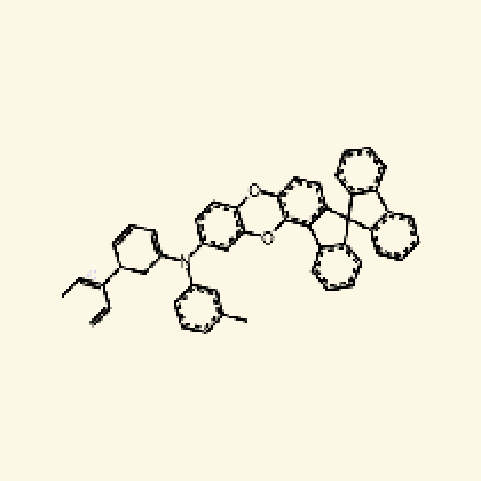 C=C/C(=C\C)C1C=CC=C(N(c2cccc(C)c2)c2ccc3c(c2)Oc2c(ccc4c2-c2ccccc2C42c4ccccc4-c4ccccc42)O3)C1